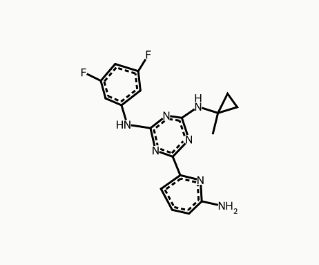 CC1(Nc2nc(Nc3cc(F)cc(F)c3)nc(-c3cccc(N)n3)n2)CC1